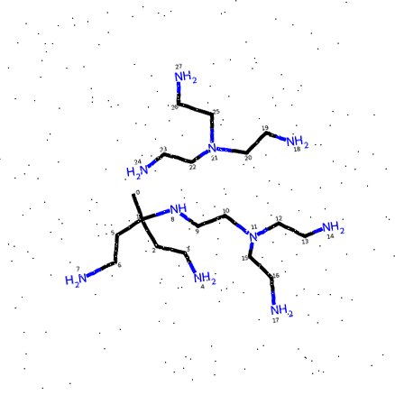 CC(CCN)(CCN)NCCN(CCN)CCN.NCCN(CCN)CCN